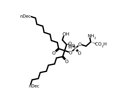 CCCCCCCCCCCCCCCCCC(=O)C(OP(=O)(O)OC[C@H](N)C(=O)O)(C(=O)CCCCCCCCCCCCCCCCC)[C@@H](O)CO